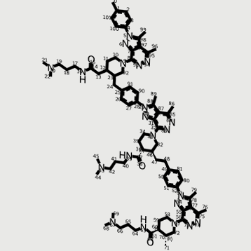 Cc1ccc(-n2nc3c(N4CCC(CC(=O)NCCCN(C)C)C(Cc5ccc(-n6nc7c(N8CC[C@@H](C(=O)NCCCN(C)C)[C@H](CCc9ccc(-n%10nc%11c(N%12CC[C@H](C(=O)NCCCN(C)C)[C@@H](C)C%12)nnc(C)c%11c%10C)cc9)C8)nnc(C)c7c6C)cc5)C4)nnc(C)c3c2C)cc1